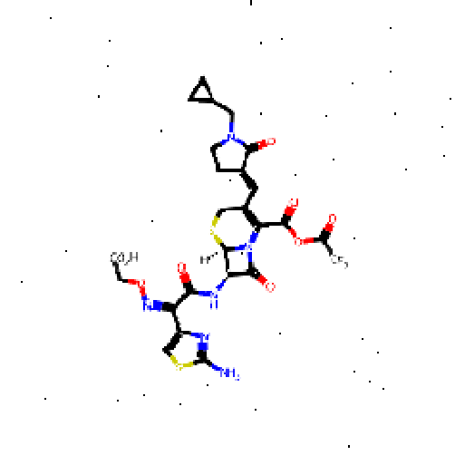 Nc1nc(/C(=N/OCC(=O)O)C(=O)N[C@@H]2C(=O)N3C(C(=O)OC(=O)C(F)(F)F)=C(C=C4CCN(CC5CC5)C4=O)CS[C@H]23)cs1